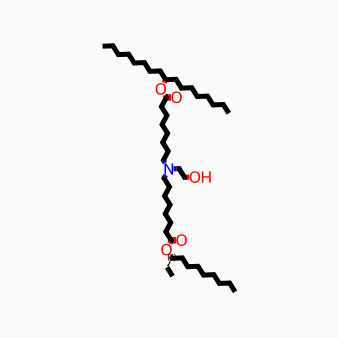 CCCCCCCCC(CCCCCCCC)OC(=O)CCCCCCCN(CCO)CCCCCCCC(=O)O[C@@H](CC)CCCCCCCC